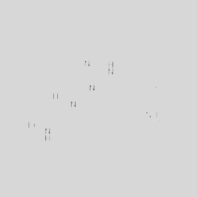 CCN[C@H]1CCN(c2nc(Nc3ccc(N)c(C(F)(F)F)c3)nc3cccc(C)c23)C1